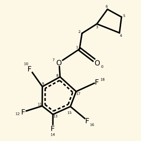 O=C(CC1CCC1)Oc1c(F)c(F)c(F)c(F)c1F